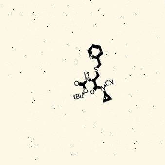 CC(C)(C)OC(=O)NC(CSCc1ccccn1)C(=O)N(C#N)C1CC1